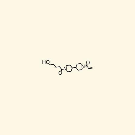 C=CC(=O)N1CCC(C2CCN(C(=O)CCCCO)CC2)CC1